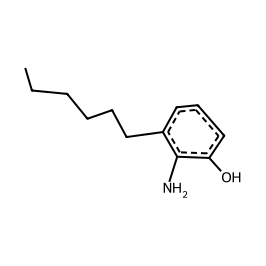 CCCCCCc1cccc(O)c1N